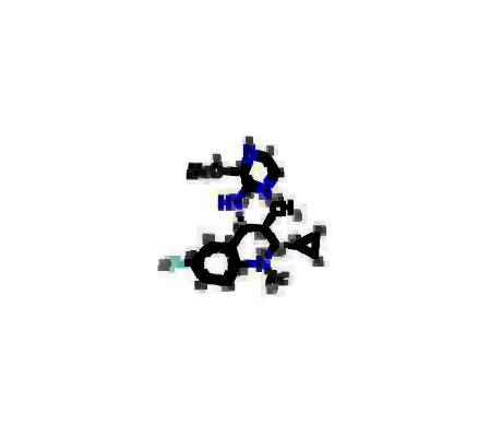 COc1nccnc1N[C@H]1c2cc(F)ccc2N(C(C)=O)[C@@H](C2CC2)[C@@H]1C